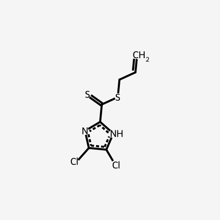 C=CCSC(=S)c1nc(Cl)c(Cl)[nH]1